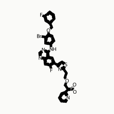 O=S(=O)=C(COCCc1nc(-c2cc3c(Nc4ccc(OCc5cccc(F)c5)c(Br)c4)ncnc3cc2F)cs1)c1ccccn1